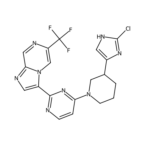 FC(F)(F)c1cn2c(-c3nccc(N4CCCC(c5c[nH]c(Cl)n5)C4)n3)cnc2cn1